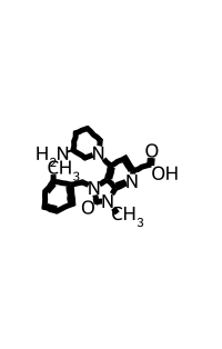 Cc1ccccc1Cn1c(=O)n(C)c2nc(C(=O)O)cc(N3CCC[C@@H](N)C3)c21